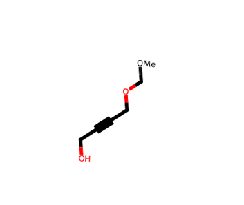 COCOCC#CCO